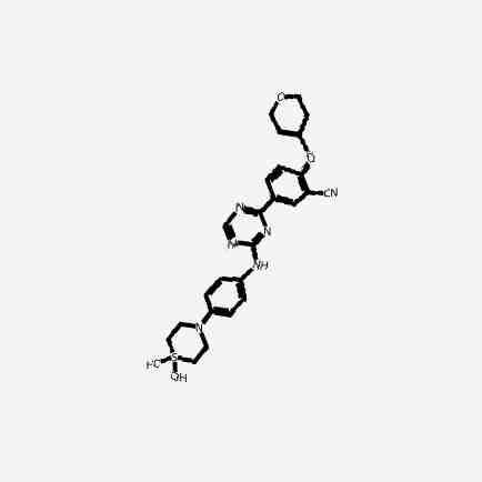 N#Cc1cc(-c2ncnc(Nc3ccc(N4CCS(O)(O)CC4)cc3)n2)ccc1OC1CCOCC1